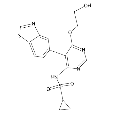 O=S(=O)(Nc1ncnc(OCCO)c1-c1ccc2scnc2c1)C1CC1